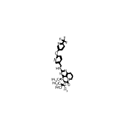 CN1c2nc(NCc3ccc(Oc4ccc(C(F)(F)F)nc4)nc3)nc3c2N(CCC3)C(=O)[C@@H]1C(C)(C)O